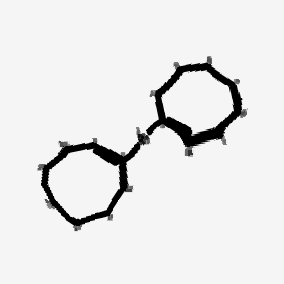 C1=[C]([Rh][C]2=CCCCCCC2)CCCCCC1